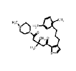 Cc1ccc(C)c(CCCc2ccsc2C(=O)CC(C)(C)CC(=O)N2CCN(C)CC2)c1